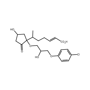 CC(CCC=CC(=O)O)C1(OCC(O)COc2ccc(Cl)cc2)CC(O)CC1=O